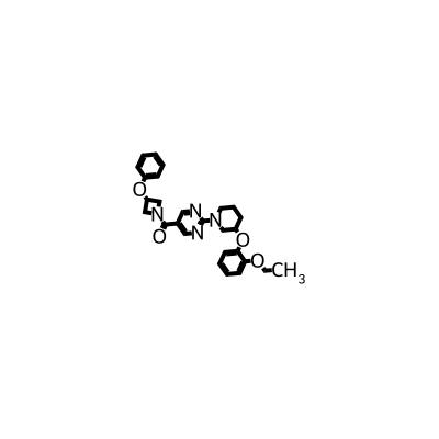 CCOc1ccccc1OC1CCCN(c2ncc(C(=O)N3CC(Oc4ccccc4)C3)cn2)C1